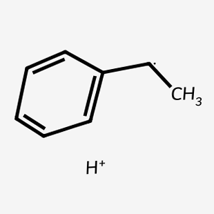 C[CH]c1ccccc1.[H+]